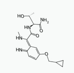 CN/C(C(=O)N[C@H](C(N)=O)[C@@H](C)O)=C1/C=C(OCC2CC2)C=CC1=N